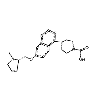 CN1CCC[C@H]1COc1ccc2c(C3CCN(C(=O)O)CC3)ncnc2c1